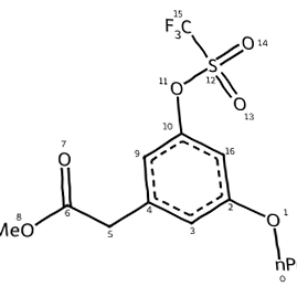 CCCOc1cc(CC(=O)OC)cc(OS(=O)(=O)C(F)(F)F)c1